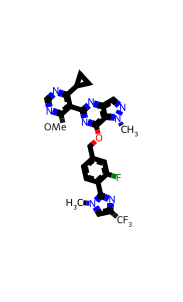 COc1ncnc(C2CC2)c1-c1nc(OCc2ccc(-c3nc(C(F)(F)F)cn3C)c(F)c2)c2c(cnn2C)n1